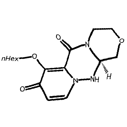 CCCCCCOc1c2n(ccc1=O)N[C@@H]1COCCN1C2=O